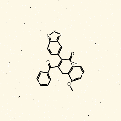 COc1ccccc1C/C(C(=O)c1ccccc1)=C(\C(=O)O)c1ccc2nsnc2c1